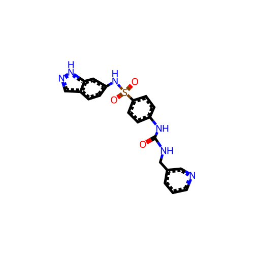 O=C(NCc1cccnc1)Nc1ccc(S(=O)(=O)Nc2ccc3cn[nH]c3c2)cc1